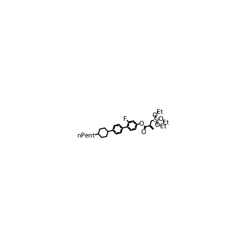 C=C(C[Si](OCC)(OCC)OCC)C(=O)Oc1ccc(-c2ccc(C3CCC(CCCCC)CC3)cc2)c(F)c1